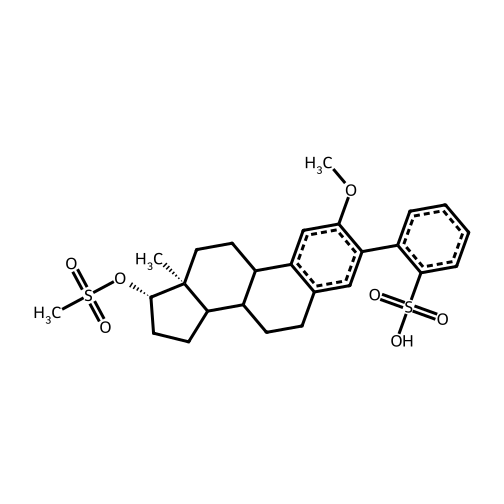 COc1cc2c(cc1-c1ccccc1S(=O)(=O)O)CCC1C2CC[C@@]2(C)C1CC[C@@H]2OS(C)(=O)=O